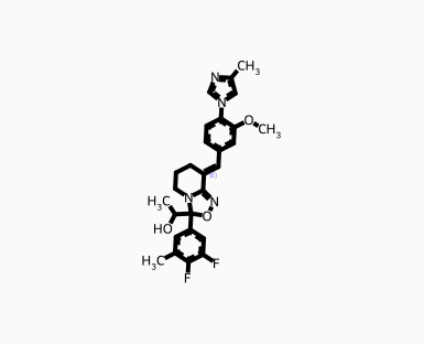 COc1cc(/C=C2\CCCN3C2=NOC3(c2cc(C)c(F)c(F)c2)C(C)O)ccc1-n1cnc(C)c1